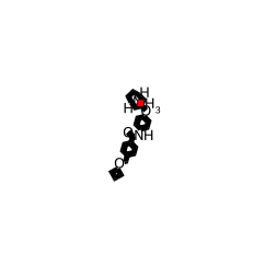 CN1[C@@H]2CC[C@H]1CC(Oc1ccc(NC(=O)c3ccc(COC4CCC4)cc3)cc1)C2